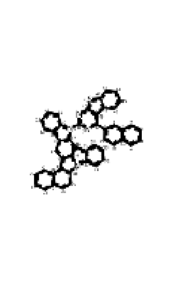 c1ccc2cc(-c3nc(-n4c5ccccc5c5cc6c7c8ccccc8ccc7n7c8ccccc8c(c54)c67)nc4sc5ccccc5c34)ccc2c1